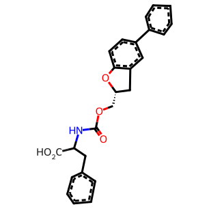 O=C(NC(Cc1ccccc1)C(=O)O)OC[C@H]1Cc2cc(-c3ccccc3)ccc2O1